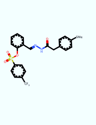 CSc1ccc(CC(=O)NN=Cc2ccccc2OS(=O)(=O)c2ccc(C(F)(F)F)cc2)cc1